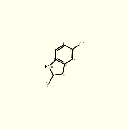 CC(=O)C1Cc2cc(F)ccc2N1